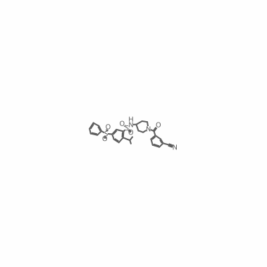 CC(C)c1ccc(S(=O)(=O)c2ccccc2)cc1S(=O)(=O)NC1CCN(C(=O)c2cccc(C#N)c2)CC1